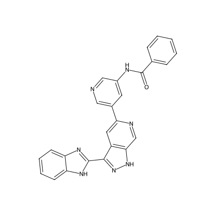 O=C(Nc1cncc(-c2cc3c(-c4nc5ccccc5[nH]4)n[nH]c3cn2)c1)c1ccccc1